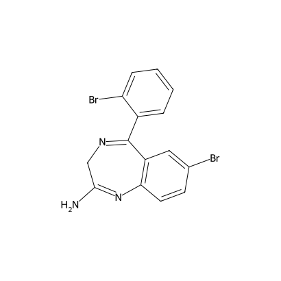 NC1=Nc2ccc(Br)cc2C(c2ccccc2Br)=NC1